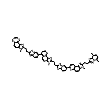 Cc1ccc(C)n2nc(CCc3nc4c5ccc(-c6ccc7nc(CCc8nc9c%10nccc(-c%11ccc%12nc(CCc%13nc%14c%15nccnc%15ccc%14n%13C)nn%12c%11)c%10ccc9n8C)nn7c6)nc5ccc4n3C)nc12